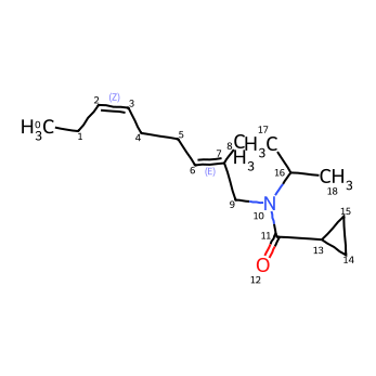 CC/C=C\CC/C=C(\C)CN(C(=O)C1CC1)C(C)C